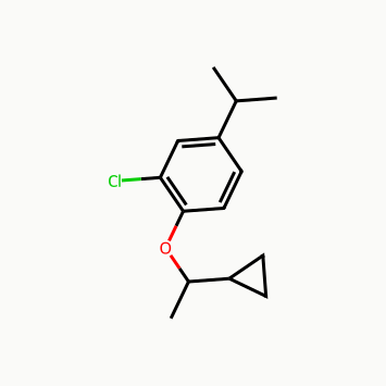 CC(C)c1ccc(OC(C)C2CC2)c(Cl)c1